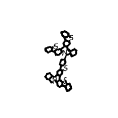 c1ccc2c(c1)cn1c3ccc4c5ccccc5sc4c3c3cc4sc5cc(-c6c7ccccc7c7c8cc9sc%10ccccc%10c9cc8c8c9sc%10ccccc%10c9ccc8n67)ccc5c4cc3c21